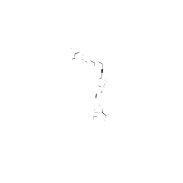 COC1=CC[C@@H]([C@@H](C)/C=C(C)/C=C\C#CC(=O)N[C@@H](C)C(=O)N/C=C\C[C@H](C/C=C(\C)Cl)O[Si](C)(C)C(C)(C)C)OC1=O